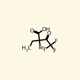 CCC(Br)(C(=O)O)C(=O)C(F)(F)F